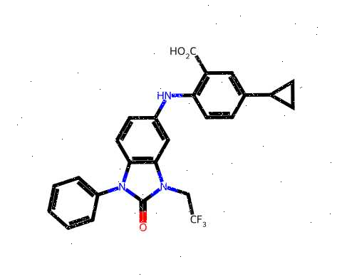 O=C(O)c1cc(C2CC2)ccc1Nc1ccc2c(c1)n(CC(F)(F)F)c(=O)n2-c1ccccc1